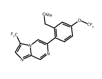 COCc1cc(OC(F)(F)F)ccc1-c1cn2c(C(F)(F)F)cnc2cn1